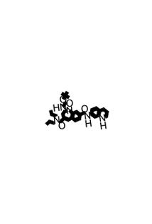 CCCN(CCC)C(=O)C1=Cc2ccc(C(=O)Nc3ccc4c(c3)NCCC4)cc2N=C(NC(=O)OC(C)(C)C)C1